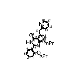 CCCOc1ccccc1-c1nc2c(c(Cc3ccccn3)nn2CCC)c(=O)[nH]1